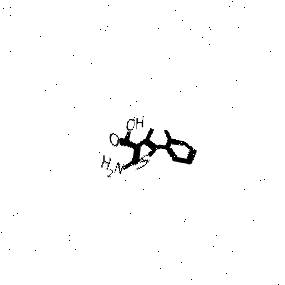 Cc1ccccc1-c1sc(N)c(C(=O)O)c1C